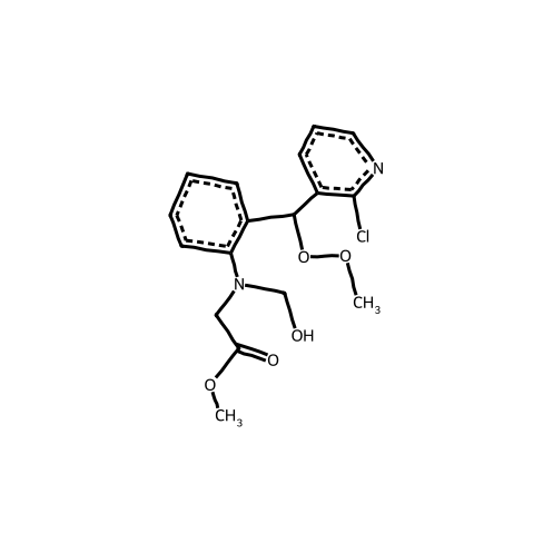 COOC(c1ccccc1N(CO)CC(=O)OC)c1cccnc1Cl